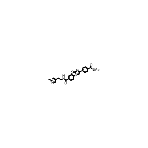 CNC(=O)c1ccc(-c2cn3c(n2)sc2cc(C(=O)NCCc4cnn(C)c4)ccc23)cc1